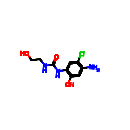 Nc1cc(O)c(NC(=O)NCCO)cc1Cl